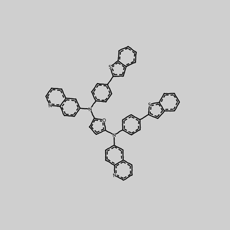 c1cnc2ccc(N(c3ccc(-c4cc5ccccc5s4)cc3)c3ccc(N(c4ccc(-c5cc6ccccc6s5)cc4)c4ccc5ncccc5c4)o3)cc2c1